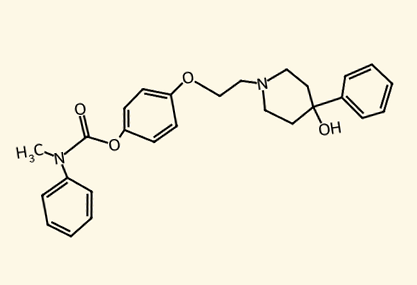 CN(C(=O)Oc1ccc(OCCN2CCC(O)(c3ccccc3)CC2)cc1)c1ccccc1